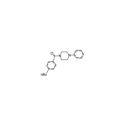 CCCCc1ccc(C(=O)N2CCN(c3cc[c]cc3)CC2)cc1